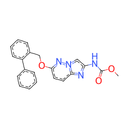 COC(=O)Nc1cn2nc(OCc3ccccc3-c3ccccc3)ccc2n1